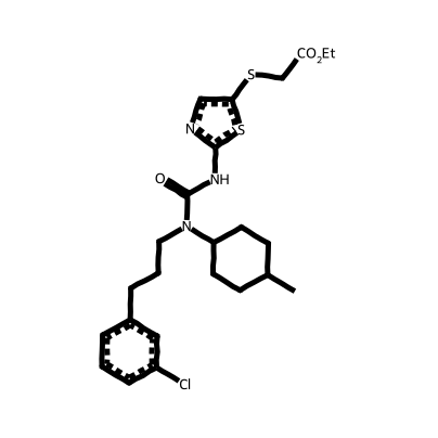 CCOC(=O)CSc1cnc(NC(=O)N(CCCc2cccc(Cl)c2)C2CCC(C)CC2)s1